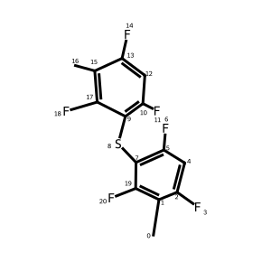 Cc1c(F)cc(F)c(Sc2c(F)cc(F)c(C)c2F)c1F